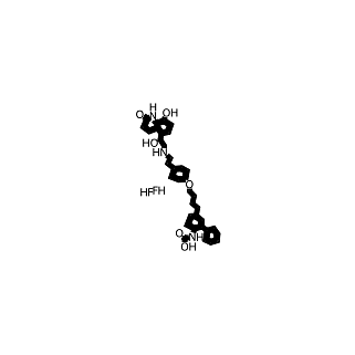 F.F.O=C(O)Nc1ccc(CCCCOc2ccc(CCNC[C@H](O)c3ccc(O)c4[nH]c(=O)ccc34)cc2)cc1-c1ccccc1